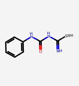 CSC(=N)NC(=O)Nc1ccccc1